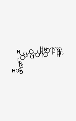 Cc1c(Nc2nccc3cc(CNC[C@@H]4CCC(=O)N4)cnc23)cccc1-c1cccc(-c2cc3cc4c(c(C#N)c3o2)CC[C@H]4N2CC[C@@H](C(=O)O)C2)c1Cl